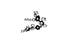 CCOc1ccc(C2=NN(Cc3ccc(NC(=O)c4c[nH]cn4)cc3)C(=O)CC2CC)cc1OC